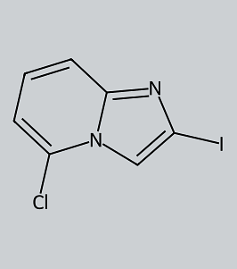 Clc1cccc2nc(I)cn12